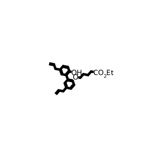 C=CCc1ccc(O)c(-c2cc(CC=C)ccc2OCCCCC(=O)OCC)c1